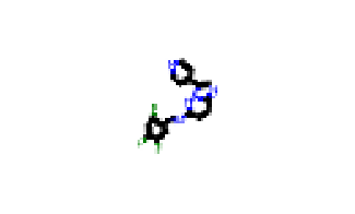 Fc1cc(F)c(CNc2ccc3ncc(-c4ccncc4)n3n2)cc1F